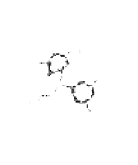 CCOP(c1cc(C)cc(C)c1)c1cc(C)cc(C)c1.Cl